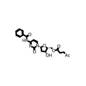 CC(=O)CCC(=O)OC[C@H]1O[C@@H](n2ccc(NC(=O)c3ccccc3)nc2=O)C[C@@H]1O